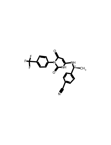 C[C@H](Nc1cc(=O)n(-c2ccc(C(F)(F)F)cc2)c(=O)[nH]1)c1ccc(C#N)cc1